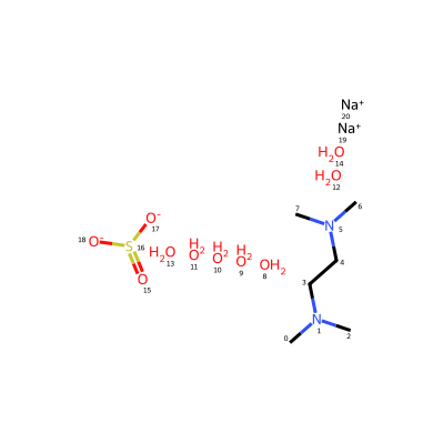 CN(C)CCN(C)C.O.O.O.O.O.O.O.O=S([O-])[O-].[Na+].[Na+]